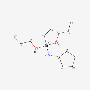 CCCO[Si](CC)(NC1CCCC1)OCCC